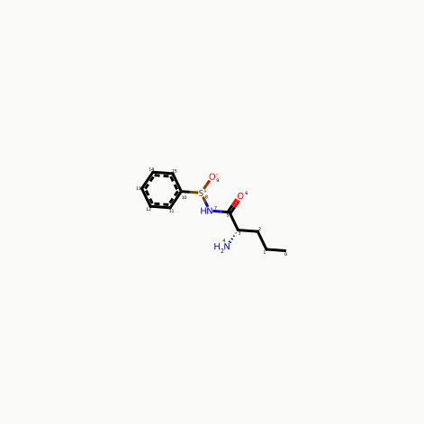 CCC[C@H](N)C(=O)N[S+]([O-])c1ccccc1